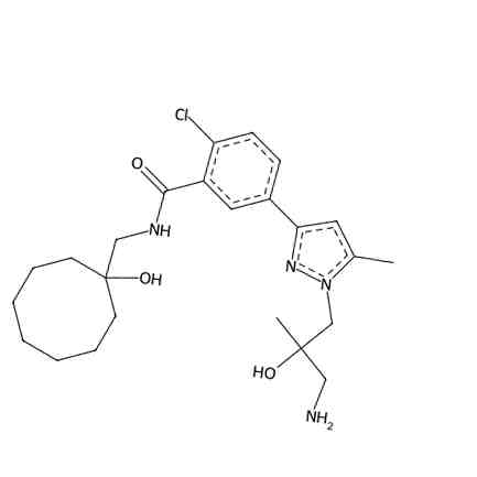 Cc1cc(-c2ccc(Cl)c(C(=O)NCC3(O)CCCCCCC3)c2)nn1CC(C)(O)CN